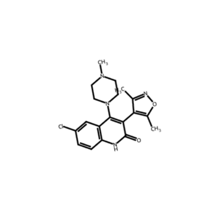 Cc1noc(C)c1-c1c(N2CCN(C)CC2)c2cc(Cl)ccc2[nH]c1=O